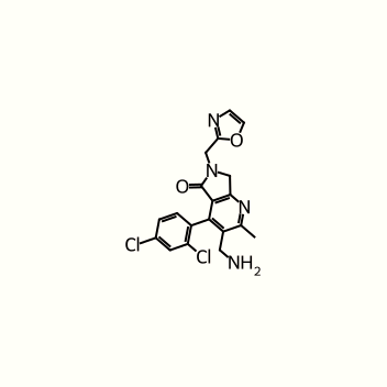 Cc1nc2c(c(-c3ccc(Cl)cc3Cl)c1CN)C(=O)N(Cc1ncco1)C2